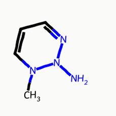 CN1C=CC=NN1N